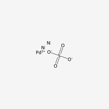 O=S(=O)([O-])[O-].[N].[N].[Pd+2]